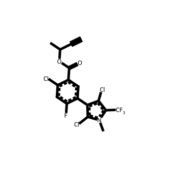 C#CC(C)OC(=O)c1cc(-c2c(Cl)c(C(F)(F)F)n(C)c2Cl)c(F)cc1Cl